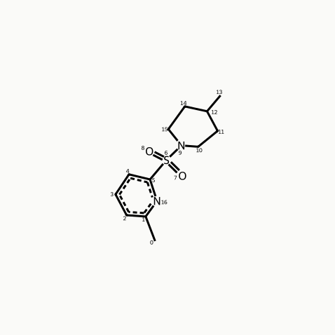 Cc1cccc(S(=O)(=O)N2CCC(C)CC2)n1